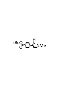 CN/C=C\C(=N)N1CCN(C(=O)OC(C)(C)C)CC1